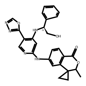 CC1OC(=O)c2ccc(Nc3cc(N[C@H](CO)c4ccccc4)c(-c4nnco4)cn3)cc2C12CC2